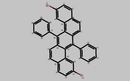 Brc1ccc2ccc3c(-c4ccccc4)c4c(ccc5ccc(Br)cc54)c(-c4ccccc4)c3c2c1